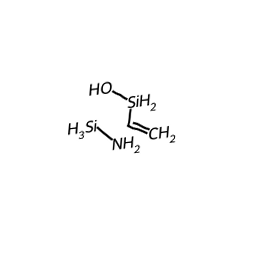 C=C[SiH2]O.N[SiH3]